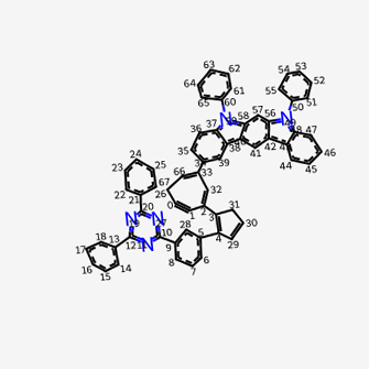 C1#CC(C2=C(c3cccc(-c4nc(-c5ccccc5)nc(-c5ccccc5)n4)c3)C=CC2)=CC(c2ccc3c(c2)c2cc4c5ccccc5n(-c5ccccc5)c4cc2n3-c2ccccc2)=CC1